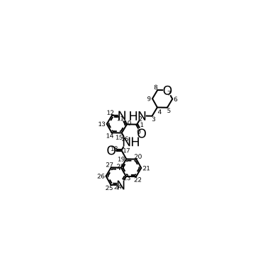 O=C(NCC1CCOCC1)c1ncccc1NC(=O)c1cccc2ncccc12